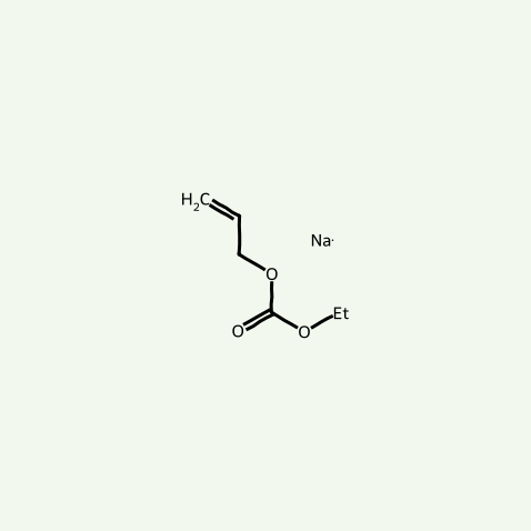 C=CCOC(=O)OCC.[Na]